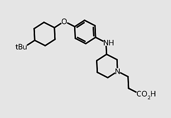 CC(C)(C)C1CCC(Oc2ccc(NC3CCCN(CCC(=O)O)C3)cc2)CC1